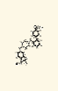 CCCn1c(C)nc2cc(CN3CCN(Cc4ccccc4-c4ccc(OC)cc4)CC3)ccc21